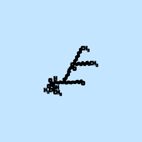 CCCCCCCCC(CCCCCCCC)OC(=O)CCCCCCCN(CCCCCCCC=O)CCCNc1c(NC(C)C)c(=O)c1=O